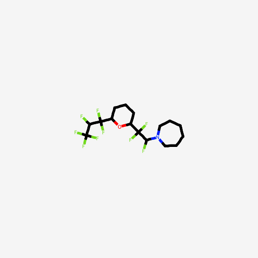 FC(N1CCCCCC1)C(F)(F)C1CCCC(C(F)(F)C(F)C(F)(F)F)O1